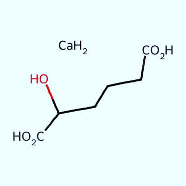 O=C(O)CCCC(O)C(=O)O.[CaH2]